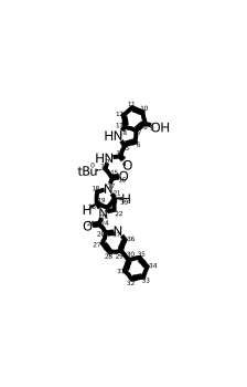 CC(C)(C)[C@H](NC(=O)c1cc2c(O)cccc2[nH]1)C(=O)N1C[C@@H]2C[C@H]1CN2C(=O)c1ccc(-c2ccccc2)cn1